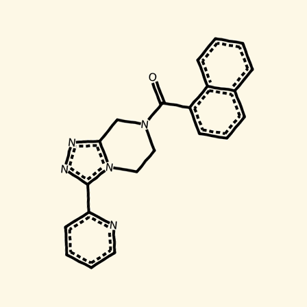 O=C(c1cccc2ccccc12)N1CCn2c(nnc2-c2ccccn2)C1